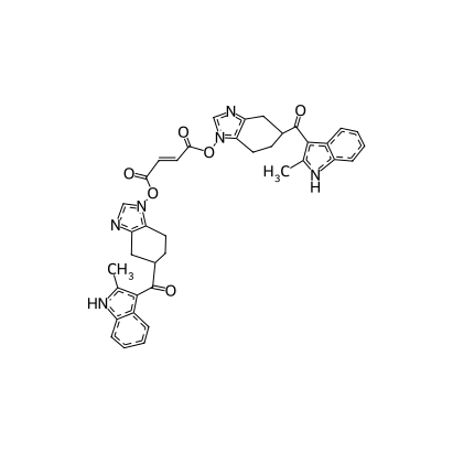 Cc1[nH]c2ccccc2c1C(=O)C1CCc2c(ncn2OC(=O)/C=C/C(=O)On2cnc3c2CCC(C(=O)c2c(C)[nH]c4ccccc24)C3)C1